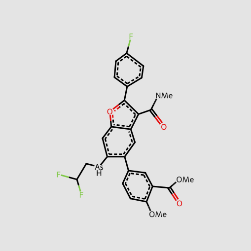 CNC(=O)c1c(-c2ccc(F)cc2)oc2cc([AsH]CC(F)F)c(-c3ccc(OC)c(C(=O)OC)c3)cc12